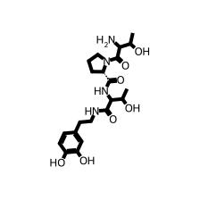 CC(O)C(N)C(=O)N1CCC[C@H]1C(=O)NC(C(=O)NCCc1ccc(O)c(O)c1)C(C)O